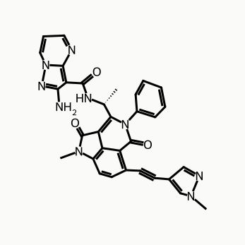 C[C@@H](NC(=O)c1c(N)nn2cccnc12)c1c2c3c(ccc(C#Cc4cnn(C)c4)c3c(=O)n1-c1ccccc1)N(C)C2=O